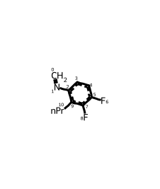 C=Nc1ccc(F)c(F)c1CCC